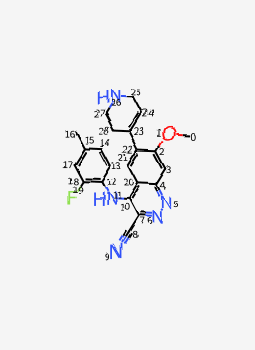 COc1cc2nnc(C#N)c(Nc3ccc(C)cc3F)c2cc1C1=CCNCC1